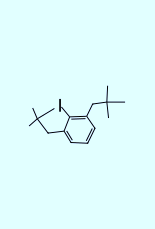 CC(C)(C)Cc1cccc(CC(C)(C)C)c1I